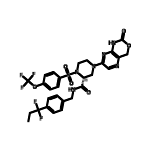 CCC(F)(F)c1ccc(CNC(=O)[C@H]2CN(c3cnc4c(n3)NC(=O)OC4)CCN2S(=O)(=O)c2ccc(OC(F)(F)F)cc2)cc1